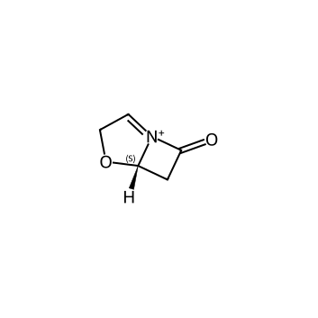 O=C1C[C@@H]2OCC=[N+]12